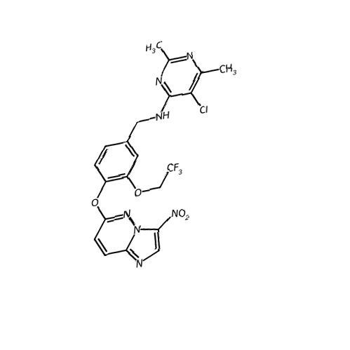 Cc1nc(C)c(Cl)c(NCc2ccc(Oc3ccc4ncc([N+](=O)[O-])n4n3)c(OCC(F)(F)F)c2)n1